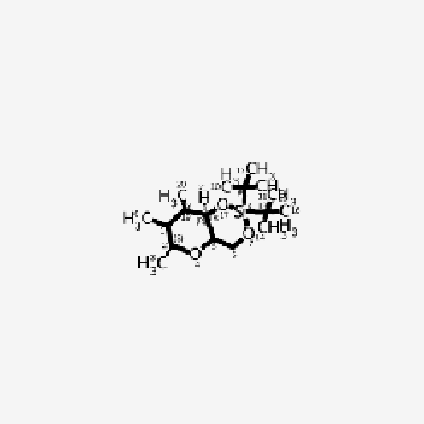 CC1[C@H](C)OC2CO[Si](C(C)(C)C)(C(C)(C)C)O[C@@H]2[C@@H]1C